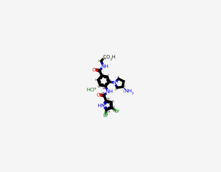 Cl.N[C@H]1CCN(c2cc(C(=O)NCC(=O)O)ccc2NC(=O)c2cc(Br)c(Br)[nH]2)C1